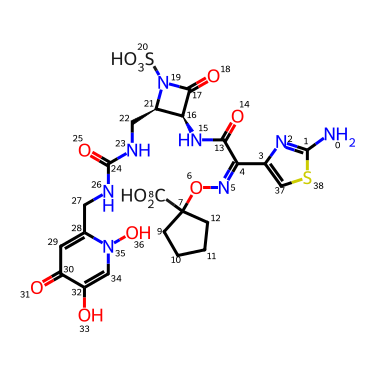 Nc1nc(C(=NOC2(C(=O)O)CCCC2)C(=O)N[C@@H]2C(=O)N(S(=O)(=O)O)[C@@H]2CNC(=O)NCc2cc(=O)c(O)cn2O)cs1